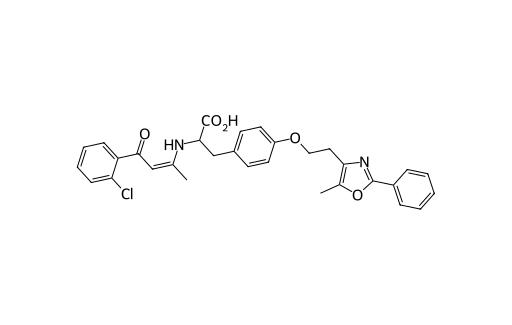 C/C(=C/C(=O)c1ccccc1Cl)NC(Cc1ccc(OCCc2nc(-c3ccccc3)oc2C)cc1)C(=O)O